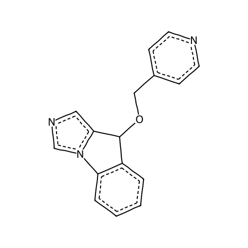 c1ccc2c(c1)C(OCc1ccncc1)c1cncn1-2